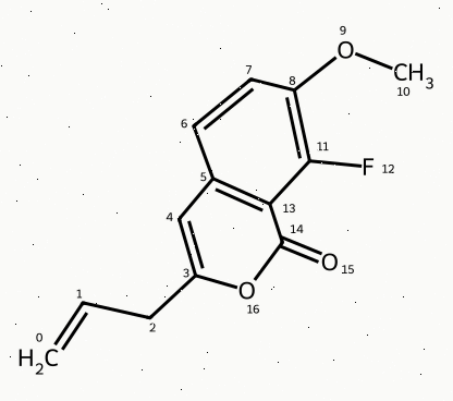 C=CCc1cc2ccc(OC)c(F)c2c(=O)o1